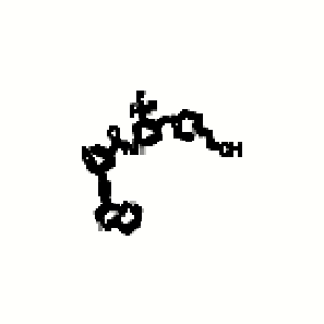 O=C(Nc1ccc(CN2CCN(CCO)CC2)c(C(F)(F)F)c1)c1cncc(C#Cc2cnc3cccnn23)c1